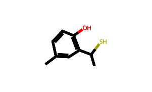 Cc1ccc(O)c(C(C)S)c1